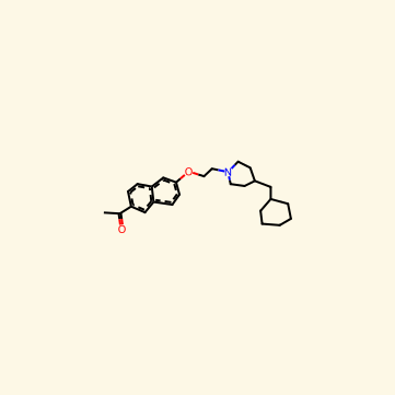 CC(=O)c1ccc2cc(OCCN3CCC(CC4CCCCC4)CC3)ccc2c1